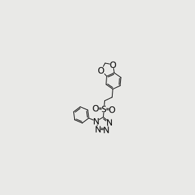 O=S(=O)(CCc1ccc2c(c1)OCO2)c1nnnn1-c1ccccc1